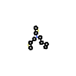 c1cc(-c2cccc(N(c3ccc(-c4ccc5sc6ccccc6c5c4)cc3)c3ccc4c(c3)sc3ccccc34)c2)cc(-c2cccc3ccccc23)c1